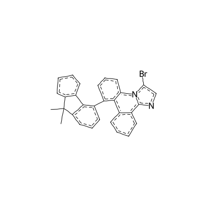 CC1(C)c2ccccc2-c2c(-c3cccc4c3c3ccccc3c3ncc(Br)n43)cccc21